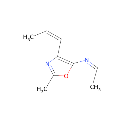 C/C=C\c1nc(C)oc1/N=C\C